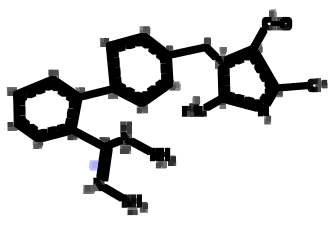 CCCCc1nc(Cl)c(C=O)n1Cc1ccc(-c2ccccc2/C(=N/N)NN)cc1